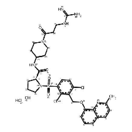 Cc1ccc2cccc(OCc3c(Cl)ccc(S(=O)(=O)N4CCC[C@H]4C(=O)NC4CCN(C(=O)CCNC(=N)N)CC4)c3Cl)c2n1.Cl.Cl